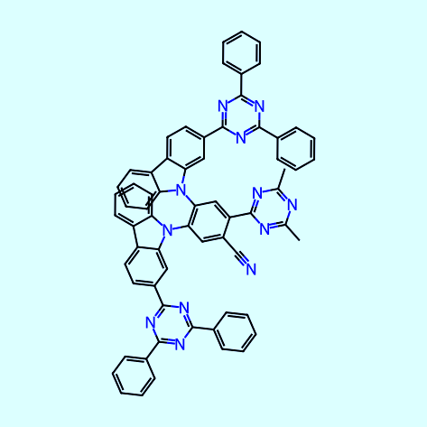 Cc1nc(C)nc(-c2cc(-n3c4ccccc4c4ccc(-c5nc(-c6ccccc6)nc(-c6ccccc6)n5)cc43)c(-n3c4ccccc4c4ccc(-c5nc(-c6ccccc6)nc(-c6ccccc6)n5)cc43)cc2C#N)n1